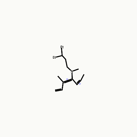 C=C/C(C)=C(\C=C/C)N(C)CCC(CC)CC